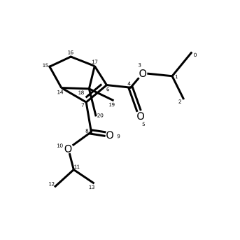 CC(C)OC(=O)C1=C(C(=O)OC(C)C)C2CCC1C2(C)C